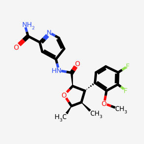 COc1c([C@@H]2[C@@H](C)[C@@H](C)O[C@H]2C(=O)Nc2ccnc(C(N)=O)c2)ccc(F)c1F